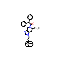 O=C(O)C1Cc2c(ncn2CCC23CC4CC(CC(C4)C2)C3)CN1C(=O)C(c1ccccc1)c1ccccc1